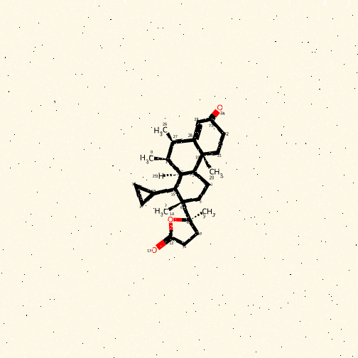 C[C@@H]1[C@H]2C(CC[C@](C)([C@@]3(C)CCC(=O)O3)C2C2CC2)[C@@]2(C)CCC(=O)C=C2[C@@H]1C